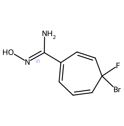 N/C(=N\O)C1=CC=CC(F)(Br)C=C1